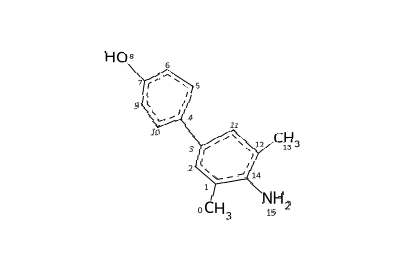 Cc1cc(-c2ccc(O)cc2)cc(C)c1N